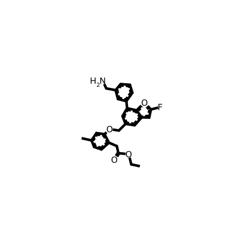 CCOC(=O)Cc1ccc(C)cc1OCc1cc(-c2cccc(CN)c2)c2oc(F)cc2c1